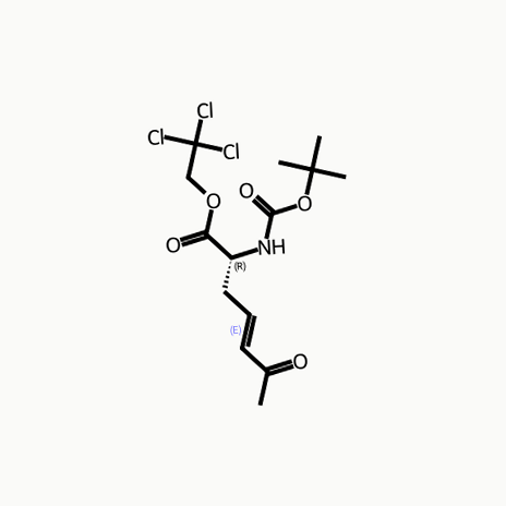 CC(=O)/C=C/C[C@@H](NC(=O)OC(C)(C)C)C(=O)OCC(Cl)(Cl)Cl